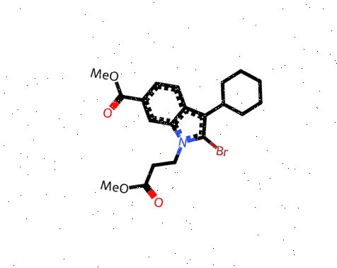 COC(=O)CCn1c(Br)c(C2CCCCC2)c2ccc(C(=O)OC)cc21